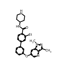 CCc1cc(-c2cccc(Oc3cnc4c(C)nn(C)c4c3)c2)ccc1C(=O)NC1CCNCC1